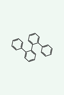 c1ccc(-c2ccccc2-c2ccccc2-c2ccccc2)cc1